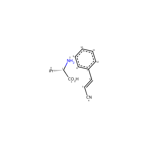 CC(C)[C@H](N)C(=O)O.N#C/C=C/c1ccccc1